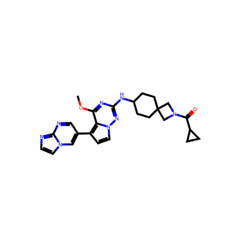 COc1nc(NC2CCC3(CC2)CN(C(=O)C2CC2)C3)nn2ccc(-c3cnc4nccn4c3)c12